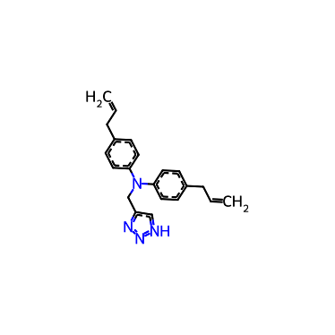 C=CCc1ccc(N(Cc2c[nH]nn2)c2ccc(CC=C)cc2)cc1